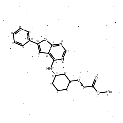 CC(C)(C)OC(=O)COC1CCC[C@H](Nc2ncnc3oc(-c4ccccc4)cc23)C1